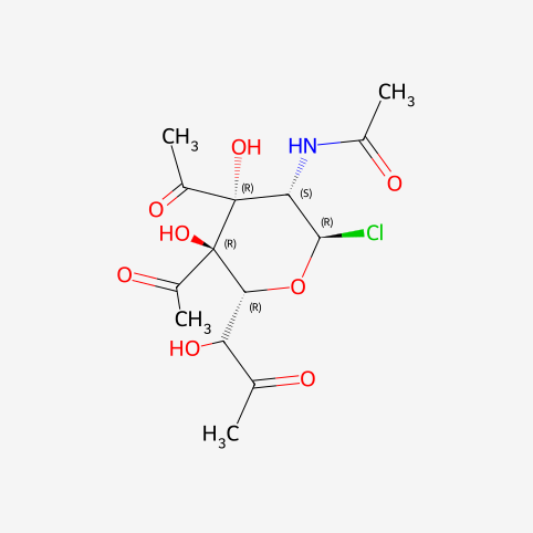 CC(=O)N[C@@H]1[C@@H](Cl)O[C@H](C(O)C(C)=O)[C@](O)(C(C)=O)[C@@]1(O)C(C)=O